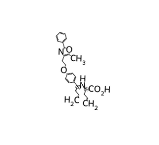 C=CC[C@H](N[C@@H](CC=C)c1ccc(OCCc2nc(-c3ccccc3)oc2C)cc1)C(=O)O